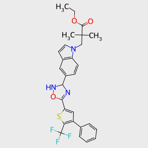 CCOC(=O)C(C)(C)Cn1ccc2cc(C3N=C(c4cc(-c5ccccc5)c(C(F)(F)F)s4)ON3)ccc21